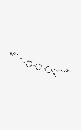 CCCCCC1(C#N)CCC(c2ccc(-c3ccc(OCCCC)cc3)cc2)CC1